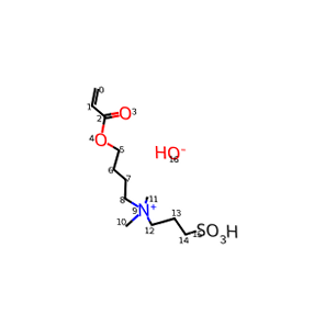 C=CC(=O)OCCCC[N+](C)(C)CCCS(=O)(=O)O.[OH-]